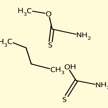 CCCC.COC(N)=S.NC(O)=S